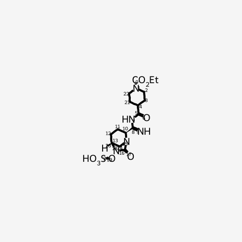 CCOC(=O)N1CCC(C(=O)NC(=N)[C@@H]2CC[C@@H]3CN2C(=O)N3OS(=O)(=O)O)CC1